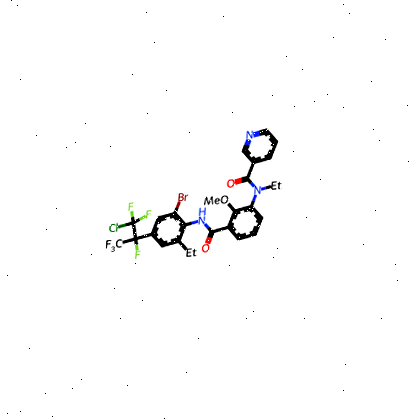 CCc1cc(C(F)(C(F)(F)F)C(F)(F)Cl)cc(Br)c1NC(=O)c1cccc(N(CC)C(=O)c2cccnc2)c1OC